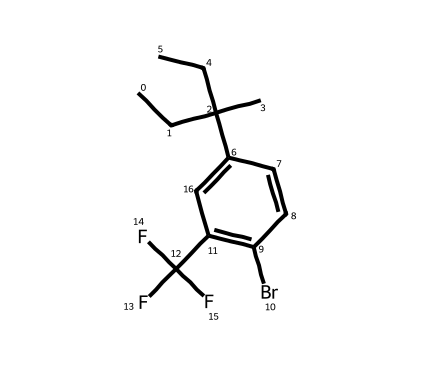 CCC(C)(CC)c1ccc(Br)c(C(F)(F)F)c1